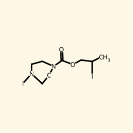 CC(I)COC(=O)N1CCN(I)CC1